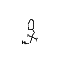 SCC(I)(I)CC1CCCC1